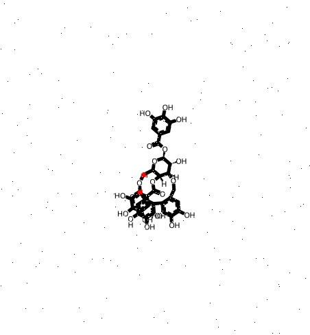 O=C(O[C@@H]1O[C@@H]2COC(=O)c3cc(O)c(O)c(O)c3-c3c(cc(O)c(O)c3O)CO[C@H]([C@H]1O)[C@@H]2OC(=O)c1cc(O)c(O)c(O)c1)c1cc(O)c(O)c(O)c1